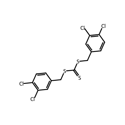 S=C(SCc1ccc(Cl)c(Cl)c1)SCc1ccc(Cl)c(Cl)c1